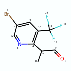 CC(C=O)c1ncc(Br)cc1C(F)(F)F